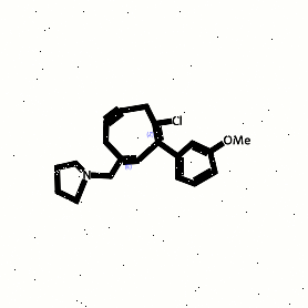 COc1cccc(C2=C(\Cl)CC#CC/C(CN3CCCC3)=C\2)c1